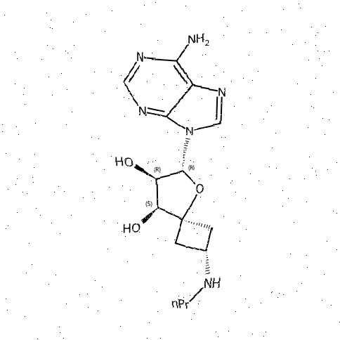 CCCN[C@H]1C[C@@]2(C1)O[C@@H](n1cnc3c(N)ncnc31)[C@H](O)[C@@H]2O